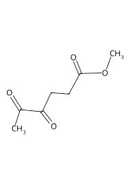 COC(=O)CCC(=O)C(C)=O